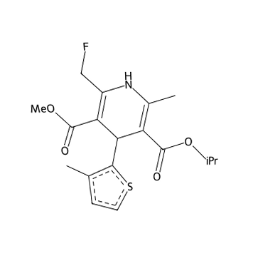 COC(=O)C1=C(CF)NC(C)=C(C(=O)OC(C)C)C1c1sccc1C